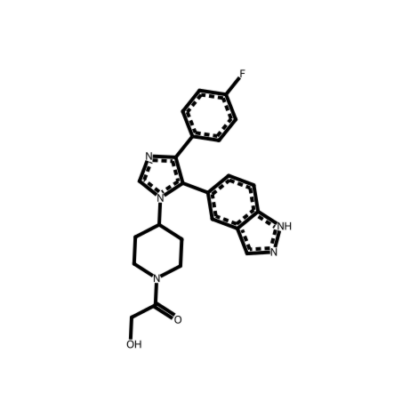 O=C(CO)N1CCC(n2cnc(-c3ccc(F)cc3)c2-c2ccc3[nH]ncc3c2)CC1